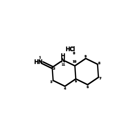 Cl.N=C1CCC2CCCCC2N1